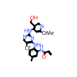 C=CC(=O)Nc1cc(C)ccc1Nc1nc(Nc2cc(OC)ncc2CO)ncc1C(F)(F)F